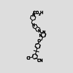 CC(C)(c1ccc(OCc2ccnc(N3CC4CN(CC5CCN(C(=O)O)CC5)CC4C3)n2)cc1)c1cc(Cl)cc(C#N)c1